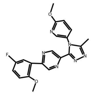 COc1ccc(-n2c(C)nnc2-c2cnc(-c3cc(F)ccc3OC)cn2)cn1